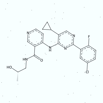 C[C@H](O)CNC(=O)c1cnccc1Nc1nc(-c2cc(Cl)ccc2F)ncc1C1CC1